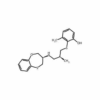 Cc1cccc(O)c1SC[C@@H](C)CN[C@@H]1COc2ccccc2SC1